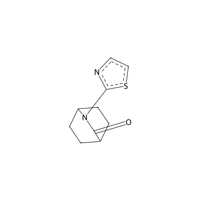 O=C1C2CCC(CC2)N1c1nccs1